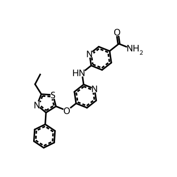 CCc1nc(-c2ccccc2)c(Oc2ccnc(Nc3ccc(C(N)=O)cn3)c2)s1